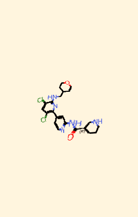 O=C(Nc1cc(-c2nc(NCC3CCOCC3)c(Cl)cc2Cl)ccn1)[C@@H]1CCCNC1